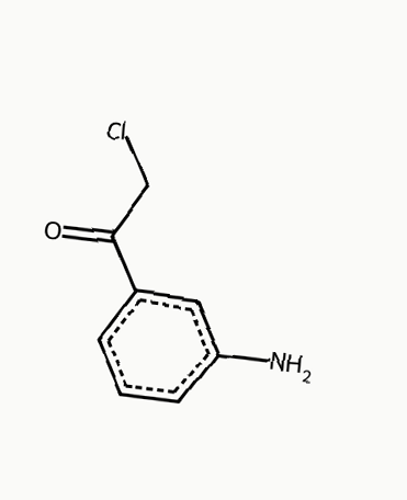 Nc1cccc(C(=O)CCl)c1